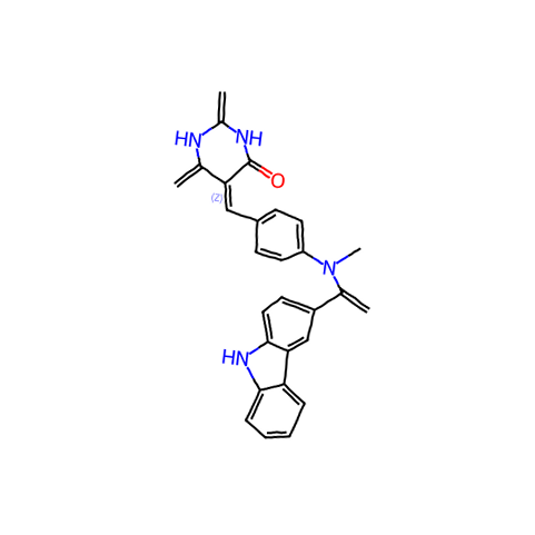 C=C1NC(=C)/C(=C/c2ccc(N(C)C(=C)c3ccc4[nH]c5ccccc5c4c3)cc2)C(=O)N1